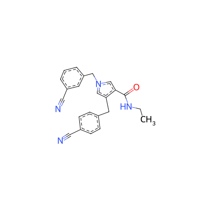 CCNC(=O)c1cn(Cc2cccc(C#N)c2)cc1Cc1ccc(C#N)cc1